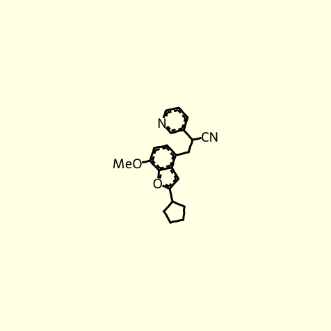 COc1ccc(CC(C#N)c2cccnc2)c2cc(C3CCCC3)oc12